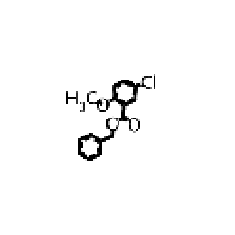 COc1ccc(Cl)cc1C(=O)OCc1ccccc1